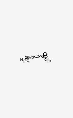 CC1CC2CCCC(OCCOCCOCCOS(C)(=O)=O)(C1)C2